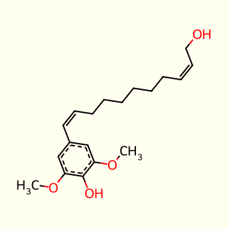 COc1cc(/C=C\CCCCCC/C=C\CO)cc(OC)c1O